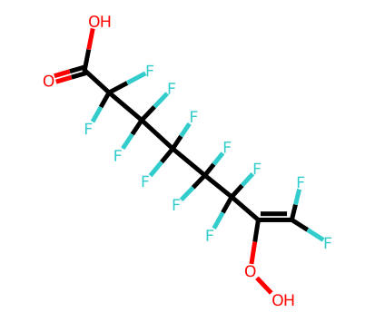 O=C(O)C(F)(F)C(F)(F)C(F)(F)C(F)(F)C(F)(F)C(OO)=C(F)F